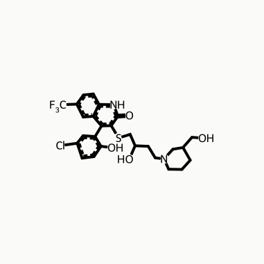 O=c1[nH]c2ccc(C(F)(F)F)cc2c(-c2cc(Cl)ccc2O)c1SCC(O)CCN1CCCC(CO)C1